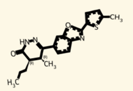 CCC[C@H]1C(=O)NN=C(c2ccc3nc(-c4ccc(C)s4)oc3c2)[C@@H]1C